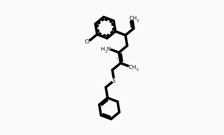 C=CC(C/C(N)=C(\C)CSCC1=CC=CCC1)c1cccc(Cl)c1